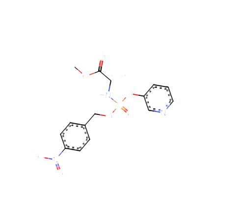 COC(=O)[C@H](C)NP(=O)(OCc1ccc([N+](=O)[O-])cc1)Oc1cccnc1